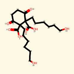 O=C(O)C1(CCCCCCO)C(=O)CCC(=O)C1(CCCCCCO)C(=O)O